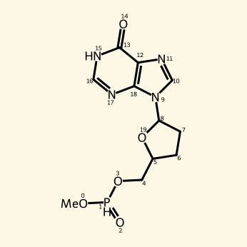 CO[PH](=O)OCC1CCC(n2cnc3c(=O)[nH]cnc32)O1